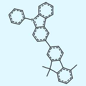 Cc1cccc2c1-c1ccc(-c3ccc4c(c3)c3ccccc3n4-c3ccccc3)cc1C2(C)C